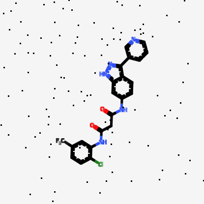 O=C(CC(=O)Nc1cc(C(F)(F)F)ccc1Cl)Nc1ccc2c(-c3cccnc3)n[nH]c2c1